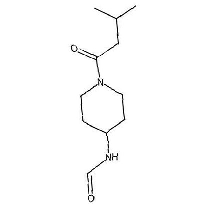 CC(C)CC(=O)N1CCC(NC=O)CC1